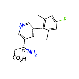 Cc1cc(F)cc(C)c1-c1cncc([C@@H](N)CC(=O)O)c1